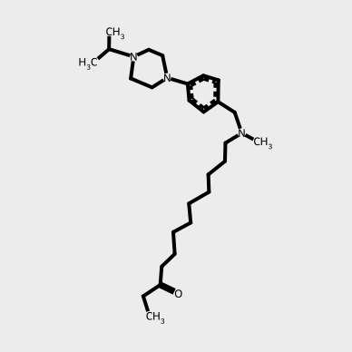 CCC(=O)CCCCCCCCCN(C)Cc1ccc(N2CCN(C(C)C)CC2)cc1